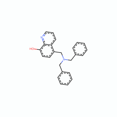 Oc1ccc(CN(Cc2ccccc2)Cc2ccccc2)c2cccnc12